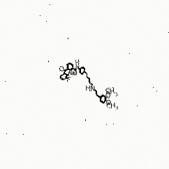 COc1ccc(CCNCCCCCc2ccc(NC(=O)c3cccc4c(=O)c5cccc(F)c5[nH]c34)cc2)cc1OC